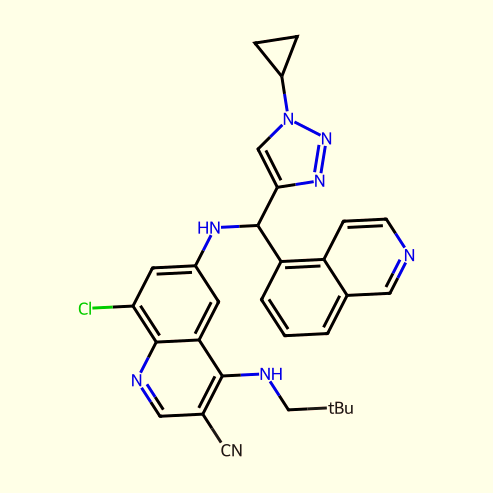 CC(C)(C)CNc1c(C#N)cnc2c(Cl)cc(NC(c3cn(C4CC4)nn3)c3cccc4cnccc34)cc12